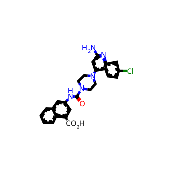 Nc1cc(N2CCN(C(=O)Nc3cc(C(=O)O)c4ccccc4c3)CC2)c2ccc(Cl)cc2n1